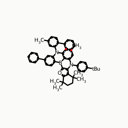 Cc1ccc(-c2ccccc2)c(N2c3cc(-c4ccccc4)ccc3B3c4oc5c(c4N(c4ccc(C(C)(C)C)cc4)c4cc(C)cc2c43)C(C)(C)CCC5(C)C)c1